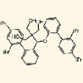 CC(C)c1ccc(-c2ccccc2OC(c2ccccc2-c2ccc(C(C)C)cc2C(C)C)C(CO)(CO)CO)c(C(C)C)c1